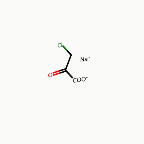 O=C([O-])C(=O)CCl.[Na+]